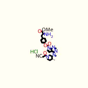 COC(=O)C(N)Cc1ccc(OC(=O)n2ccc3c(N(C)[C@H]4CN(C(=O)CC#N)CC[C@H]4C)ncnc32)cc1.Cl